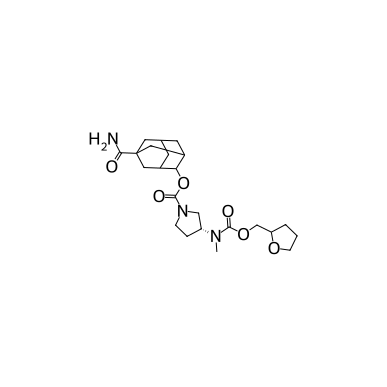 CN(C(=O)OCC1CCCO1)[C@@H]1CCN(C(=O)OC2C3CC4CC2CC(C(N)=O)(C4)C3)C1